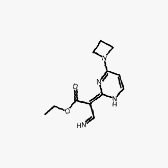 CCOC(=O)/C(C=N)=C1\N=C(N2CCC2)C=CN1